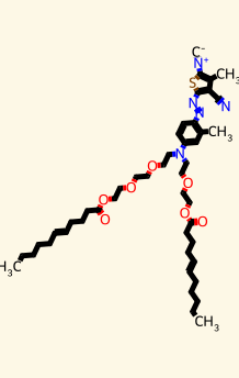 [C-]#[N+]c1sc(/N=N/c2ccc(N(CCOCCOCCOC(=O)CCC/C=C/CCCCC)CCOCCOC(=O)CCC/C=C/CCCCC)cc2C)c(C#N)c1C